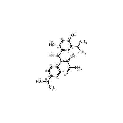 CC(C)c1cc(C(=N)N(C(=N)C(N)=O)c2ccc(N(C)C)cc2)c(O)cc1O